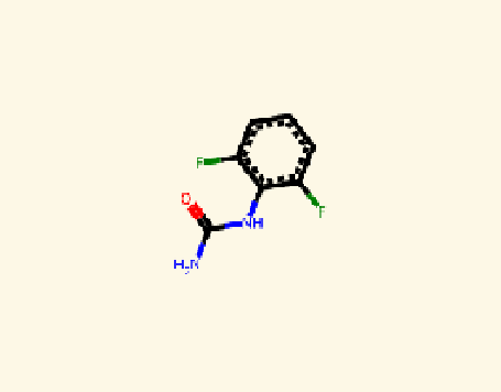 NC(=O)Nc1c(F)cccc1F